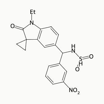 CCN1C(=O)C2(CC2)c2cc(C(N[SH](=O)=O)c3cccc([N+](=O)[O-])c3)ccc21